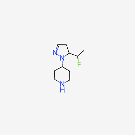 CC(F)C1CC=NN1C1CCNCC1